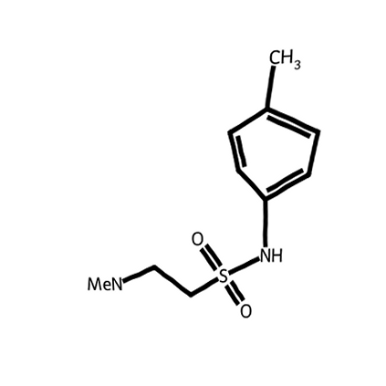 CNCCS(=O)(=O)Nc1ccc(C)cc1